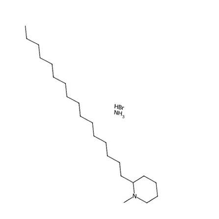 Br.CCCCCCCCCCCCCCCCC1CCCCN1C.N